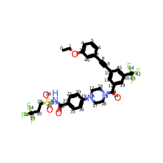 CCOc1cccc(C#Cc2cc(C(=O)N3CCN(c4ccc(C(=O)NS(=O)(=O)CCC(F)(F)F)cc4)CC3)cc(C(F)(F)F)c2)c1